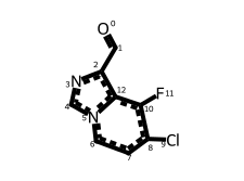 O=Cc1ncn2ccc(Cl)c(F)c12